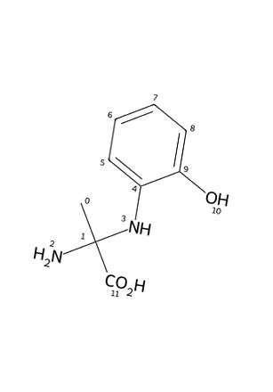 CC(N)(Nc1ccccc1O)C(=O)O